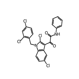 O=C(Nc1ccccc1)C(=O)c1c(Cl)n(Cc2ccc(Cl)cc2Cl)c2ccc(Cl)cc12